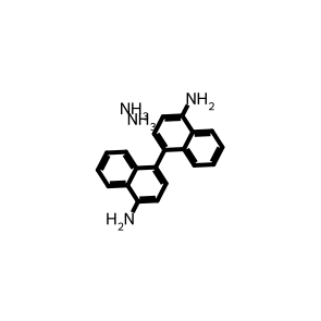 N.N.Nc1ccc(-c2ccc(N)c3ccccc23)c2ccccc12